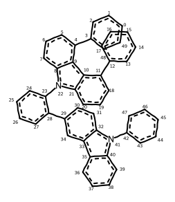 c1ccc(-c2cccc3c2c2c(-c4ccccc4)cccc2n3-c2ccccc2-c2ccc3c(c2)c2ccccc2n3-c2ccccc2)cc1